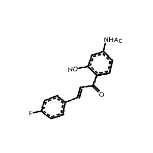 CC(=O)Nc1ccc(C(=O)C=Cc2ccc(F)cc2)c(O)c1